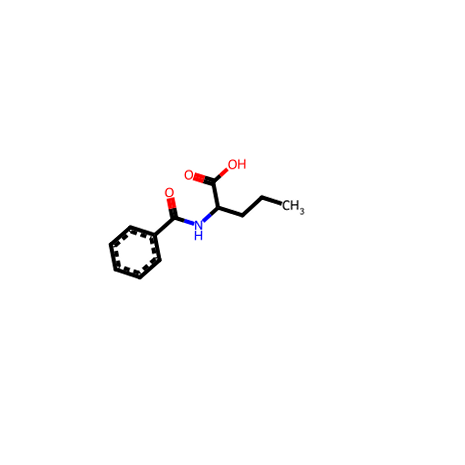 CCCC(NC(=O)c1ccccc1)C(=O)O